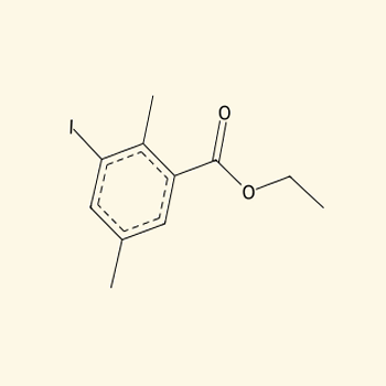 CCOC(=O)c1cc(C)cc(I)c1C